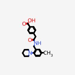 Cc1ccc(N2CCCCC2)c(CNC(=O)Cc2ccc(C(=O)O)cc2)c1